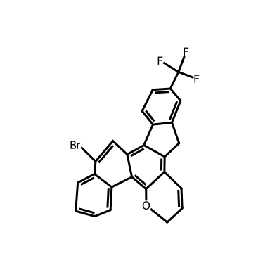 FC(F)(F)c1ccc2c(c1)Cc1c3c(c4c(cc(Br)c5ccccc54)c1-2)OCC=C3